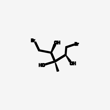 C[C@](O)([C@H](O)CBr)[C@@H](O)CBr